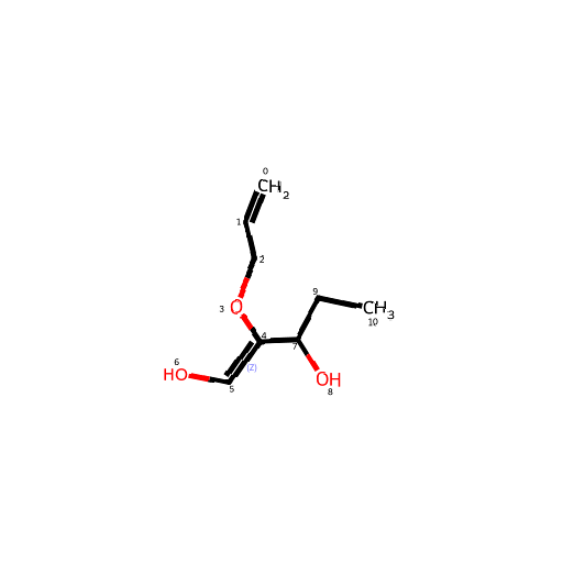 C=CCO/C(=C\O)C(O)CC